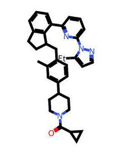 CCc1ccnn1-c1cccc(-c2cccc3c2C(Cc2ccc(C4CCN(C(=O)C5CC5)CC4)cc2C)CC3)n1